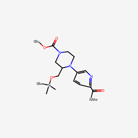 CNC(=O)c1ccc(N2CCN(C(=O)OC(C)(C)C)CC2CO[Si](C)(C)C(C)(C)C)cn1